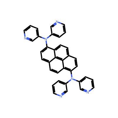 c1cncc(N(c2cccnc2)c2ccc3ccc4c(N(c5cccnc5)c5cccnc5)ccc5ccc2c3c54)c1